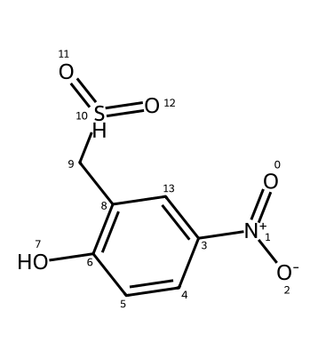 O=[N+]([O-])c1ccc(O)c(C[SH](=O)=O)c1